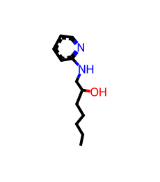 CCCCCC(O)CNc1ccccn1